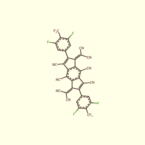 N#CC(C#N)=C1C(c2cc(F)c(C(F)(F)F)c(F)c2)=C(C#N)c2c(C#N)c3c(c(C#N)c21)C(C#N)=C(c1cc(F)c(C(F)(F)F)c(F)c1)C3=C(C#N)C#N